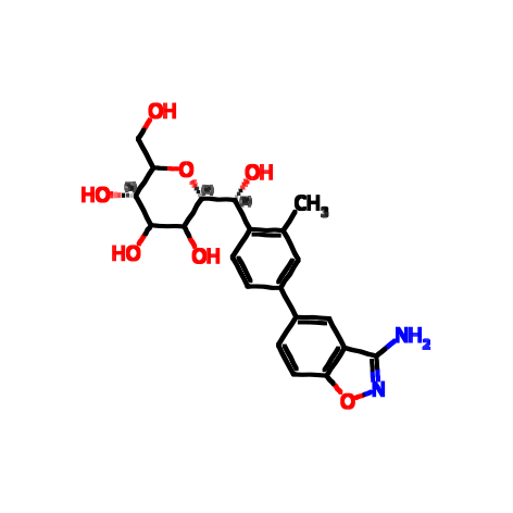 Cc1cc(-c2ccc3onc(N)c3c2)ccc1[C@@H](O)[C@H]1OC(CO)[C@@H](O)C(O)C1O